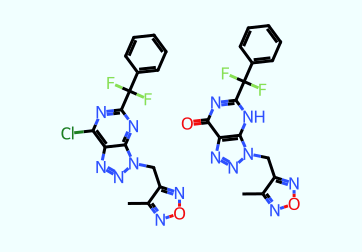 Cc1nonc1Cn1nnc2c(=O)nc(C(F)(F)c3ccccc3)[nH]c21.Cc1nonc1Cn1nnc2c(Cl)nc(C(F)(F)c3ccccc3)nc21